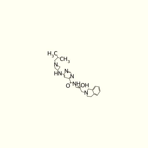 CC(C)CN1CC(Nc2cc(C(=O)NC[C@H](O)CN3CCc4ccccc4C3)ncn2)C1